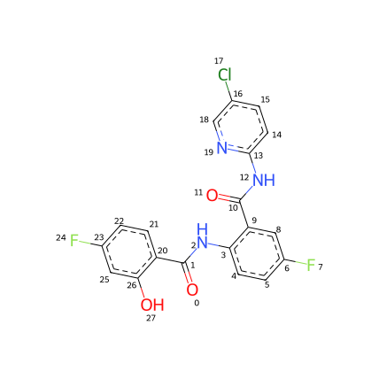 O=C(Nc1ccc(F)cc1C(=O)Nc1ccc(Cl)cn1)c1ccc(F)cc1O